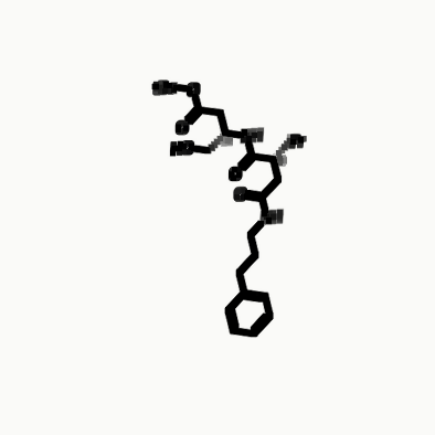 CC(C)[C@H](CC(=O)NCCCc1ccccc1)C(=O)N[C@H](CO)CC(=O)OC(C)(C)C